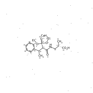 CCOP(=O)(OCC)C(C(=O)NC[C@H](C)C(=O)O)C(C)c1ccccc1.[CaH2]